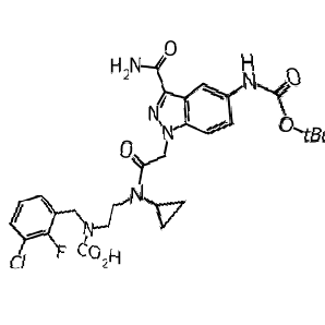 CC(C)(C)OC(=O)Nc1ccc2c(c1)c(C(N)=O)nn2CC(=O)N(CCN(Cc1cccc(Cl)c1F)C(=O)O)C1CC1